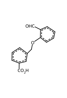 O=Cc1ccccc1OCc1cccc(C(=O)O)c1